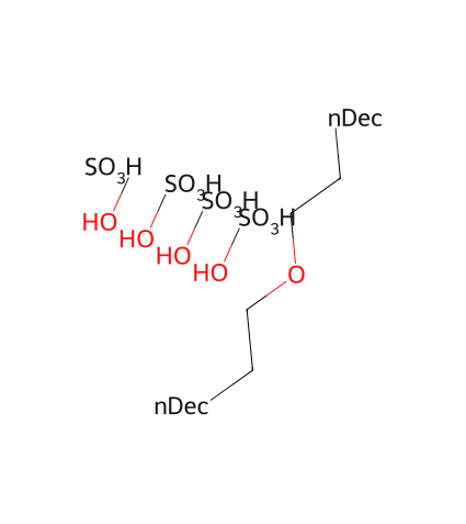 CCCCCCCCCCCCOCCCCCCCCCCCC.O=S(=O)(O)O.O=S(=O)(O)O.O=S(=O)(O)O.O=S(=O)(O)O